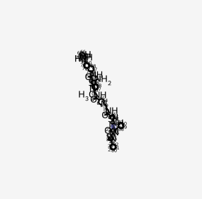 CC(NC(=O)C1CCN(CCNC(=O)c2cnc(N/N=C3/C(=O)N(c4nc(-c5ccccc5)cs4)N=C3c3ccccc3)s2)CC1)c1ccc2c(N)c(C(=O)N[C@H]3CCc4cc(N5C[C@H]6CC[C@@H](C5)N6)ccc4C3)sc2n1